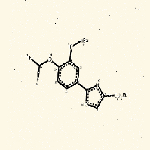 CCCCOc1cc(-c2nc(C(=O)OCC)co2)ccc1OC(F)F